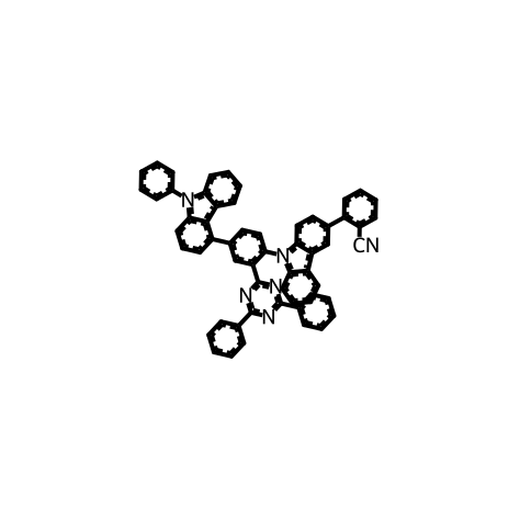 N#Cc1ccccc1-c1ccc2c(c1)c1ccccc1n2-c1ccc(-c2cccc3c2c2ccccc2n3-c2ccccc2)cc1-c1nc(-c2ccccc2)nc(-c2ccccc2)n1